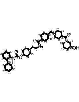 CN(CCN1CCC(OC(=O)Nc2ccccc2-c2ccccc2)CC1)C(=O)c1ccc(CN2CCC(C(=O)N3CCCC(O)C3)CC2)cc1